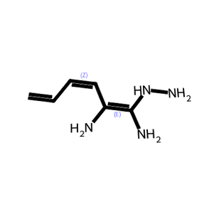 C=C/C=C\C(N)=C(\N)NN